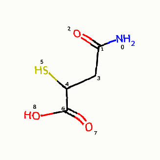 NC(=O)CC(S)C(=O)O